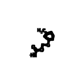 Cc1cccc(OCOC([NH])=O)c1